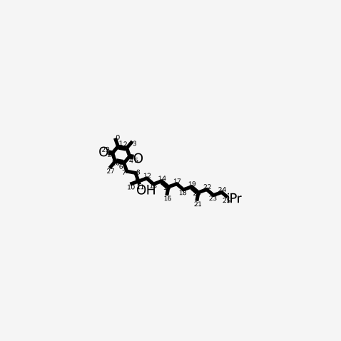 CC1=C(C)C(=O)C(CCC(C)(O)CC/C=C(\C)CC/C=C(\C)CCCC(C)C)=C(C)C1=O